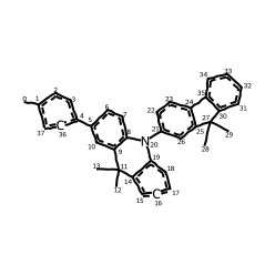 Cc1ccc(-c2ccc3c(c2)C(C)(C)c2ccccc2N3c2ccc3c(c2)C(C)(C)c2ccccc2-3)cc1